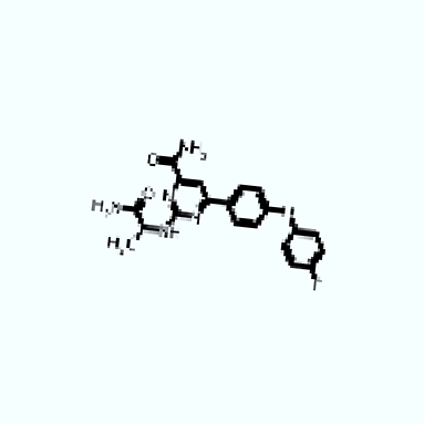 C[C@H](Nc1nc(C(N)=O)cc(-c2ccc(Oc3ccc(F)cc3)cc2)n1)C(N)=O